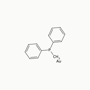 CP(c1ccccc1)c1ccccc1.[Au]